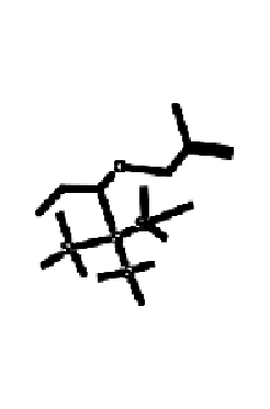 C=C(C)COC(CC)[Si]([Si](C)(C)C)([Si](C)(C)C)[Si](C)(C)C